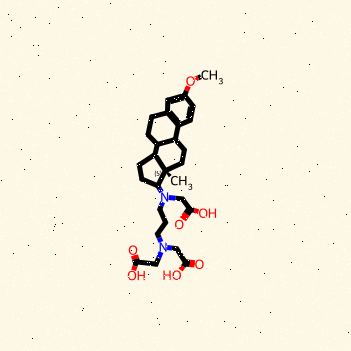 COc1ccc2c(c1)CCC1C2CC[C@@]2(C)C1CCC2N(CCCN(CC(=O)O)CC(=O)O)CC(=O)O